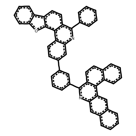 c1ccc(-c2nc3cc(-c4cccc(-c5nc6cc7ccccc7cc6c6c5ccc5ccccc56)c4)ccc3c3c2ccc2c4ccccc4oc23)cc1